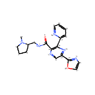 CN1CCCC1CNC(=O)c1ncc(-c2ncco2)nc1-c1ccccn1